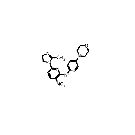 CC1=NCCN1c1ccc([N+](=O)[O-])c(Nc2ccc(N3CCOCC3)cc2)n1